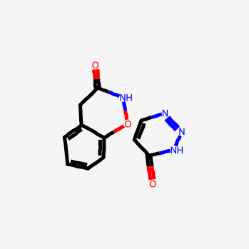 O=C1Cc2ccccc2ON1.O=c1ccnn[nH]1